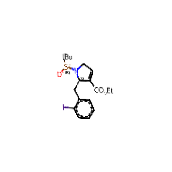 CCOC(=O)C1=CCN([S@@+]([O-])C(C)(C)C)[C@@H]1Cc1ccccc1I